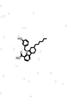 CCCCCCC1CCc2c(n(Cc3cccc(O)c3)c3c(C(=O)O)cccc23)C1